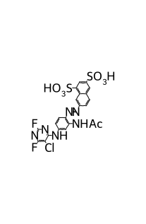 CC(=O)Nc1cc(Nc2nc(F)nc(F)c2Cl)ccc1N=Nc1ccc2cc(S(=O)(=O)O)cc(S(=O)(=O)O)c2c1